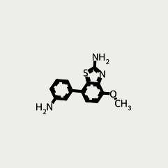 COc1ccc(-c2cccc(N)c2)c2sc(N)nc12